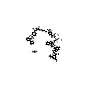 CN(CCN1CCC(OC(=O)Nc2ccccc2-c2ccccc2)CC1)C(=O)CCCCCN(C)c1ccc(C(=O)N(C)CCN(C)C(=O)CO[C@H]2Cc3ccccc3C23CCN(CC[C@@]2(c4ccc(F)cc4)CN(C(=O)c4cc(C(F)(F)F)cc(C(F)(F)F)c4)CO2)CC3)cc1.Cl.Cl.Cl